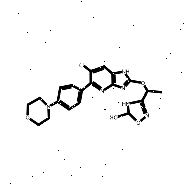 CC(Oc1nc2nc(-c3ccc(N4CCOCC4)cc3)c(Cl)cc2[nH]1)C1=NOC(O)N1